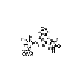 CCC(NCc1ccc2c(c1)nc(-c1c[nH]c(=O)c(C)c1)n2CC1CCOCC1)C(=O)OC(C)COC